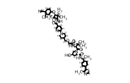 Cc1ncsc1-c1ccc([C@H](C)NC(=O)[C@@H]2C[C@@H](O)CN2C(=O)[C@@H](NC(=O)COCC2CCN(c3ccc(C(=O)N[C@H]4C(C)(C)[C@H](Oc5ccc(C#N)c(Cl)c5)C4(C)C)cn3)CC2)C(C)(C)C)cc1